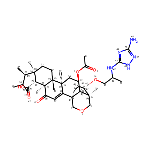 CC(=O)O[C@@H]1C[C@@]23COC[C@@](C)([C@@H]2CC[C@H]2C3=CC(=O)[C@@]3(C)[C@H](C(=O)O)[C@@](C)([C@H](C)C(C)C)CC[C@]23C)[C@H]1OCC(C)Nc1nc(N)n[nH]1